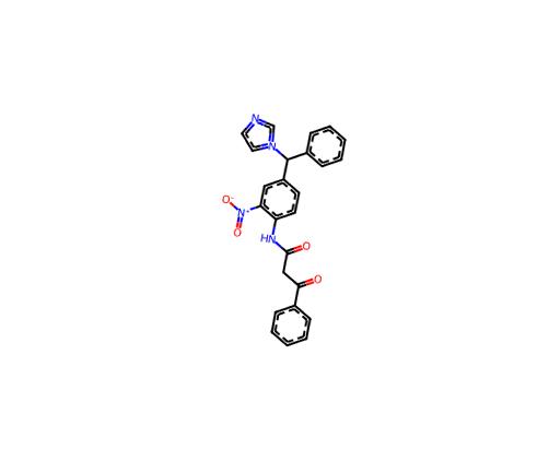 O=C(CC(=O)c1ccccc1)Nc1ccc(C(c2ccccc2)n2ccnc2)cc1[N+](=O)[O-]